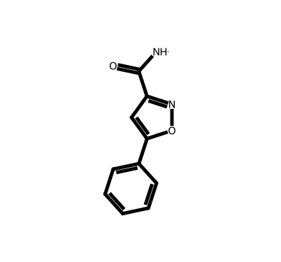 [NH]C(=O)c1cc(-c2ccccc2)on1